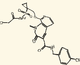 Cn1c(=O)c(C(=O)NCc2ccc(C#N)cc2)cc2ccnc(OCC3(S(=O)(=O)NC(=O)CCl)CC3)c21